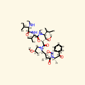 CCC(C)[C@@H]([C@@H](CC(=O)N1C[C@H](OC)C[C@H]1[C@H](OC)[C@@H](C)C(=O)N[C@@H](C)C(=O)c1ccccc1)OC)N(C)C(=O)[C@@H](NC(=O)[C@@H](NC)C(C)C)C(C)C